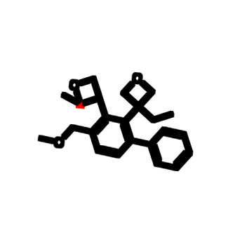 CCC1(c2c(COC)ccc(-c3ccccc3)c2C2(CC)COC2)COC1